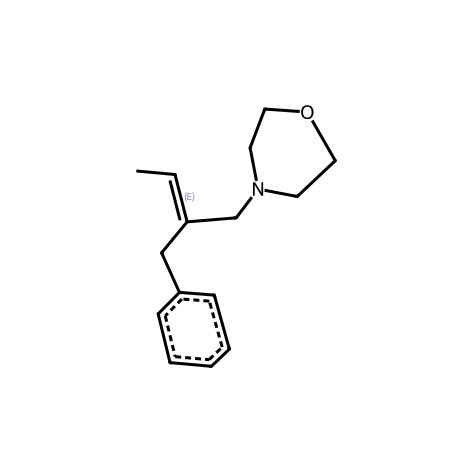 C/C=C(\Cc1ccccc1)CN1CCOCC1